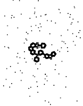 c1ccc(-c2nc3ccc4ccc5ccc(N(c6ccccc6)c6cccc(-c7ccc8sc9ccccc9c8c7)c6)cc5c4c3s2)cc1